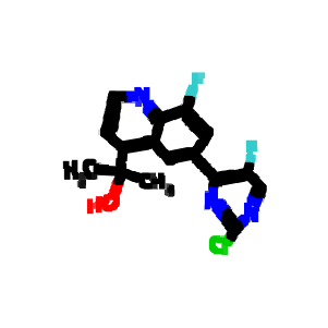 CC(C)(O)c1ccnc2c(F)cc(-c3nc(Cl)ncc3F)cc12